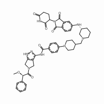 CO[C@@H](C(=O)N1Cc2[nH]nc(NC(=O)c3ccc(N4CCC(CN5CCC[C@@H](Nc6ccc7c(c6)C(=O)N(C6CCC(=O)NC6=O)C7=O)C5)CC4)cc3)c2C1)c1ccccc1